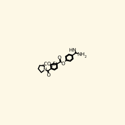 CCOC(=O)[C@@H]1CCCN1C(=O)c1ccc(C(=O)Oc2ccc(C(=N)N)cc2)cc1